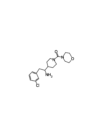 NC(Cc1cccc(Cl)c1)C1CCN(C(=O)N2CCOCC2)CC1